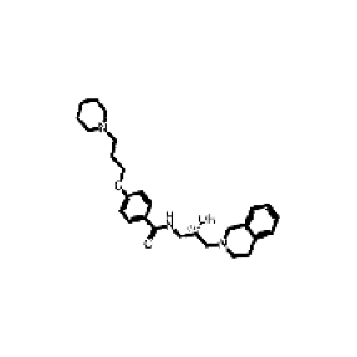 O=C(NC[C@H](O)CN1CCc2ccccc2C1)c1ccc(OCCCN2CCCCC2)cc1